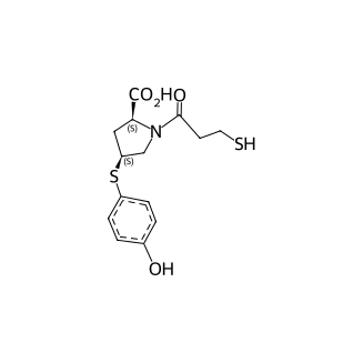 O=C(O)[C@@H]1C[C@H](Sc2ccc(O)cc2)CN1C(=O)CCS